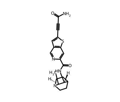 C[C@H]1[C@H](NC(=O)c2cc3sc(C#CC(N)=O)cc3cn2)C2CCN1CC2